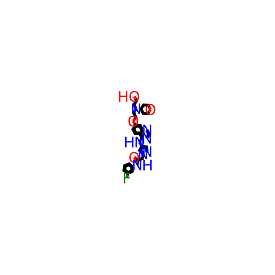 O=C(Cn1cc(Nc2ncnc3cc(OCCN(CCO)C4CCOCC4)ccc23)cn1)Nc1cccc(F)c1